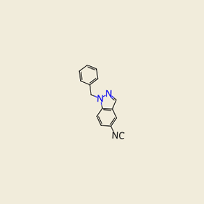 [C-]#[N+]c1ccc2c(cnn2Cc2ccccc2)c1